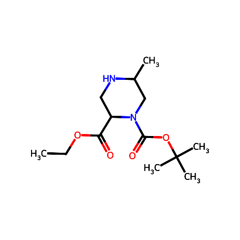 CCOC(=O)C1CNC(C)CN1C(=O)OC(C)(C)C